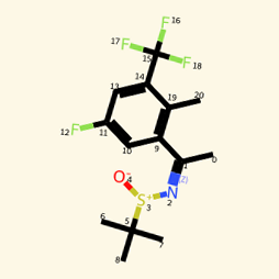 C/C(=N/[S+]([O-])C(C)(C)C)c1cc(F)cc(C(F)(F)F)c1C